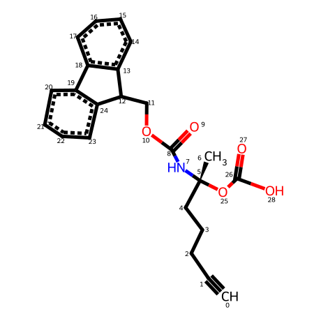 C#CCCC[C@](C)(NC(=O)OCC1c2ccccc2-c2ccccc21)OC(=O)O